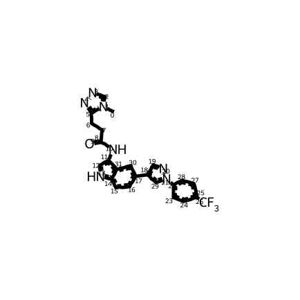 Cn1cnnc1CCC(=O)Nc1c[nH]c2ccc(-c3cnn(-c4ccc(C(F)(F)F)cc4)c3)cc12